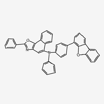 c1ccc(-c2nc3cc(N(c4ccccc4)c4ccc(-c5cccc6c5oc5ccccc56)cc4)c4ccccc4c3o2)cc1